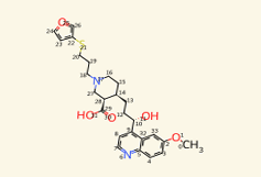 COc1ccc2nccc([C@@H](O)CC[C@@H]3CCN(CCCSc4ccoc4)C[C@@H]3C(=O)O)c2c1